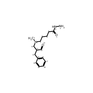 CN(CCCCC(=O)NN)CC(C=O)Cc1ccccc1